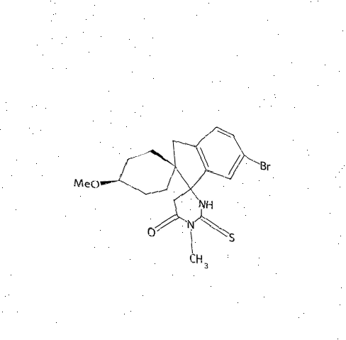 CO[C@H]1CC[C@@]2(CC1)Cc1ccc(Br)cc1C21CC(=O)N(C)C(=S)N1